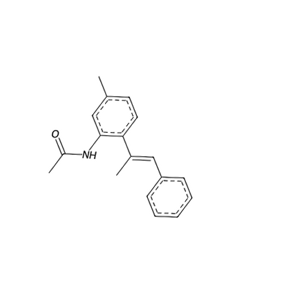 CC(=O)Nc1cc(C)ccc1C(C)=Cc1ccccc1